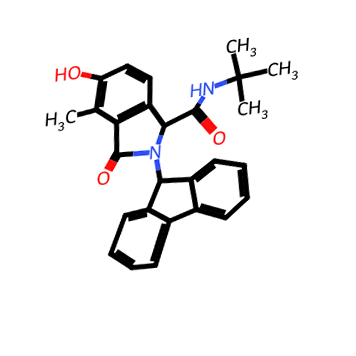 Cc1c(O)ccc2c1C(=O)N(C1c3ccccc3-c3ccccc31)C2C(=O)NC(C)(C)C